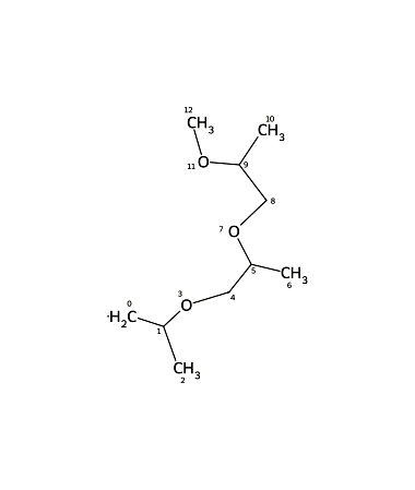 [CH2]C(C)OCC(C)OCC(C)OC